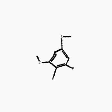 COc1cc(SC)cc(F)c1F